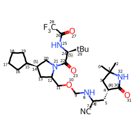 CC1(C)C[C@@H](C[C@@H](C#N)NCOCC2C[C@@H](C3CCCC3)CN2C(=O)[C@@H](NC(=O)C(F)(F)F)C(C)(C)C)C(=O)N1